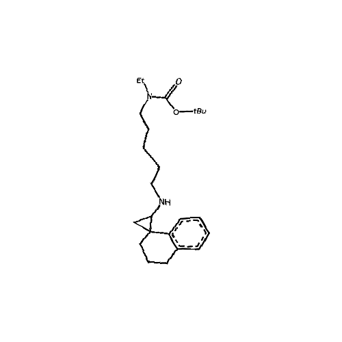 CCN(CCCCCNC1CC12CCCc1ccccc12)C(=O)OC(C)(C)C